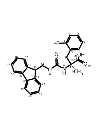 C[C@@](Cc1ccccc1F)(NC(=O)OCC1c2ccccc2-c2ccccc21)C(=O)O